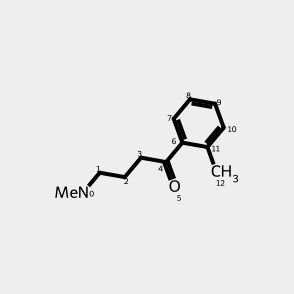 CNCCCC(=O)c1ccccc1C